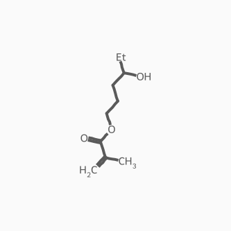 [CH2]CC(O)CCCOC(=O)C(=C)C